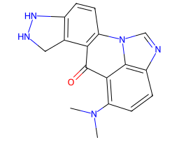 CN(C)c1ccc2ncn3c4ccc5c(c4c(=O)c1c23)CNN5